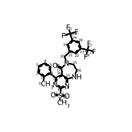 Cc1ccccc1-c1nc(S(C)(=O)=O)nc2c1C(=O)N(Cc1cc(C(F)(F)F)cc(C(F)(F)F)c1)CCN2